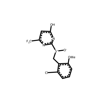 COc1cccc(Cl)c1C[S+]([O-])c1nc(O)cc(C(F)(F)F)n1